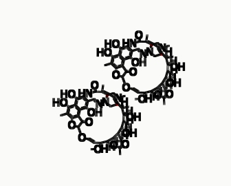 CO[C@H]1/C=C/O[C@@]2(C)Oc3c(C)c(O)c4c(O)c(c(/C=N/N5CCN(C)CC5)c(O)c4c3C2=O)NC(=O)/C(C)=C\C=C\[C@H](C)[C@H](O)[C@@H](C)[C@@H](O)[C@@H](C)[C@H](OC(C)=O)[C@@H]1C.CO[C@H]1/C=C/O[C@@]2(C)Oc3c(C)c(O)c4c(O)c(c(/C=N/N5CCN(C)CC5)c(O)c4c3C2=O)NC(=O)/C(C)=C\C=C\[C@H](C)[C@H](O)[C@@H](C)[C@@H](O)[C@@H](C)[C@H](OC(C)=O)[C@@H]1C